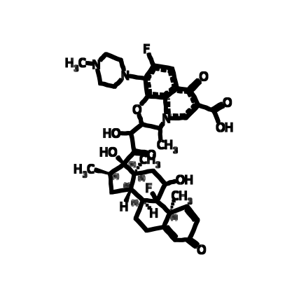 CC1C(C(O)C(=O)[C@@]2(O)[C@H](C)C[C@H]3[C@@H]4CCC5=CC(=O)C=C[C@]5(C)C4(F)C(O)C[C@@]32C)Oc2c(N3CCN(C)CC3)c(F)cc3c(=O)c(C(=O)O)cn1c23